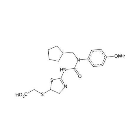 COc1ccc(N(CC2CCCC2)C(=O)NC2=NCC(SCC(=O)O)S2)cc1